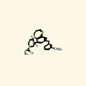 COc1cccc(Cc2cc3c4c(c2)[C@@H]2CN(C(=O)OC(C)(C)C)CC[C@@H]2N4CCCS3)c1